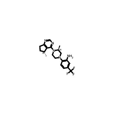 C[C@@H]1CCc2ncnc(N3CCN(c4ccc(C(F)(F)F)[c]c4N)C[C@@H]3C)c21